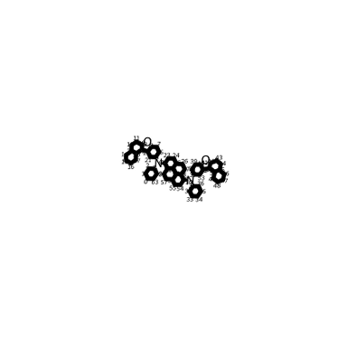 c1ccc(N(c2ccc3oc4ccc5ccccc5c4c3c2)c2ccc3ccc4c(N(c5ccccc5)c5ccc6oc7ccc8ccccc8c7c6c5)ccc5ccc2c3c54)cc1